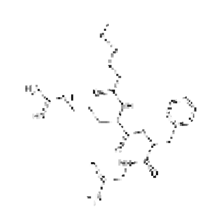 CSSCCC(=O)N[C@@H](CCCNC(=N)N)C(=O)NC(Cc1ccccc1)C(=O)NCC(N)=O